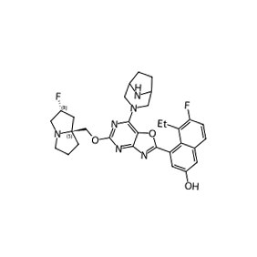 CCc1c(F)ccc2cc(O)cc(-c3nc4nc(OC[C@@]56CCCN5C[C@H](F)C6)nc(N5CC6CCC(C5)N6)c4o3)c12